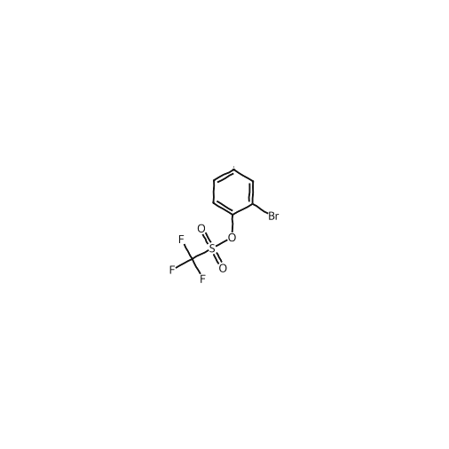 O=S(=O)(Oc1cc[c]cc1Br)C(F)(F)F